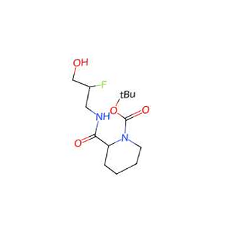 CC(C)(C)OC(=O)N1CCCCC1C(=O)NCC(F)CO